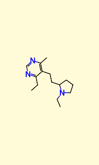 CCc1ncnc(C)c1CCC1CCCN1CC